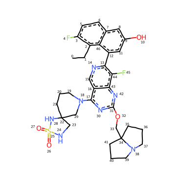 CCc1c(F)ccc2cc(O)cc(-c3ncc4c(N5CCCC6(CNS(=O)(=O)N6)C5)nc(OCC56CCCN5CCC6)nc4c3F)c12